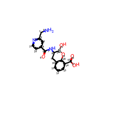 NCc1cc(C(=O)NC2Cc3cccc(C(=O)O)c3OB2O)ccn1